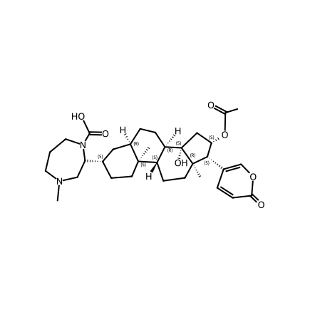 CC(=O)O[C@H]1C[C@]2(O)[C@@H]3CC[C@@H]4C[C@@H](C5CN(C)CCCN5C(=O)O)CC[C@]4(C)[C@H]3CC[C@]2(C)[C@H]1c1ccc(=O)oc1